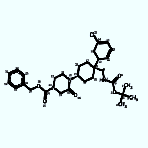 CC(C)(C)OC(=O)NC[C@]1(C2C=CC=C(Cl)C2)CC[C@H](N2CCN(C(=O)OCc3ccccc3)CC2=O)CC1